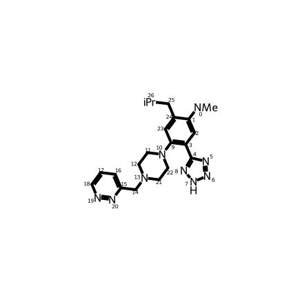 CNc1cc(-c2nn[nH]n2)c(N2CCN(Cc3cccnn3)CC2)cc1CC(C)C